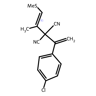 C=C(c1ccc(Cl)cc1)C(C#N)(C#N)/C(C)=C/SC